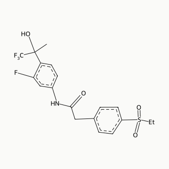 CCS(=O)(=O)c1ccc(CC(=O)Nc2ccc(C(C)(O)C(F)(F)F)c(F)c2)cc1